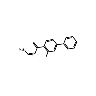 C=C(/C=C\NC)c1ccc(-c2ccccc2)cc1F